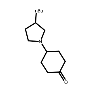 CCCCC1CCN(C2CCC(=O)CC2)C1